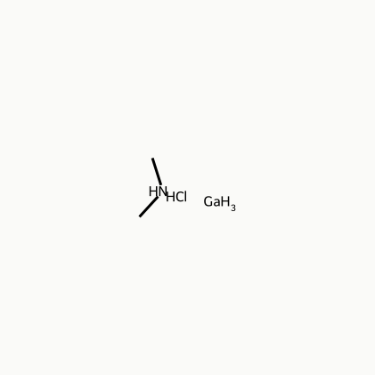 CNC.Cl.[GaH3]